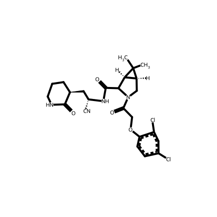 CC1(C)[C@@H]2C(C(=O)N[C@H](C#N)C[C@@H]3CCCNC3=O)N(C(=O)COc3ccc(Cl)cc3Cl)C[C@@H]21